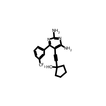 Nc1nc(N)c(C#CC2(O)CCCC2)c(-c2cccc(C(F)(F)F)c2)n1